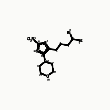 CCC(CC)CCCc1sc([N+](=O)[O-])nc1N1CCOCC1